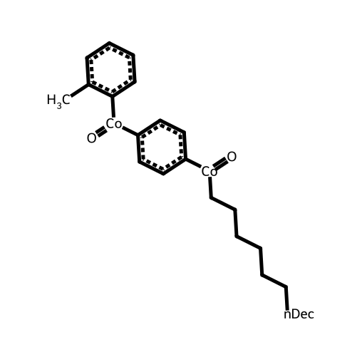 CCCCCCCCCCCCCCC[CH2][Co](=[O])[c]1cc[c]([Co](=[O])[c]2ccccc2C)cc1